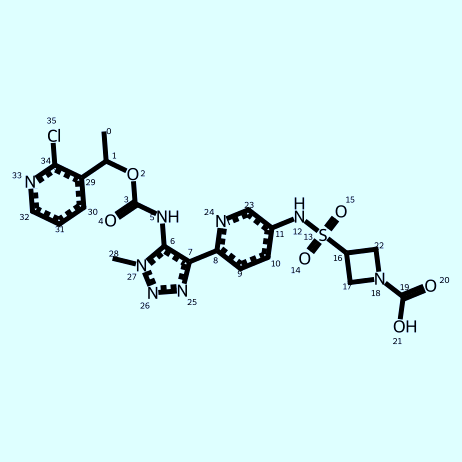 CC(OC(=O)Nc1c(-c2ccc(NS(=O)(=O)C3CN(C(=O)O)C3)cn2)nnn1C)c1cccnc1Cl